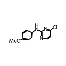 COc1ccc(Nc2nccc(Cl)n2)cc1